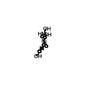 CC1(CCO)Nc2cccc3c(N=Nc4ccc(N=Nc5ccc(CCO)cc5)c5ccccc45)ccc(c23)N1